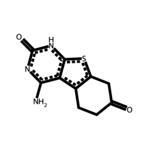 Nc1nc(=O)[nH]c2sc3c(c12)CCC(=O)C3